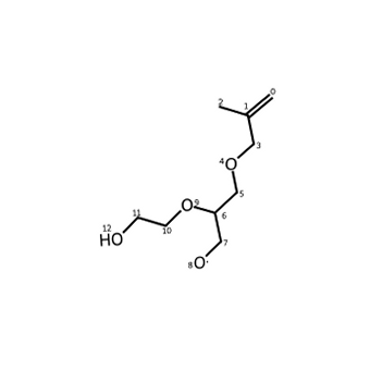 C=C(C)COCC(C[O])OCCO